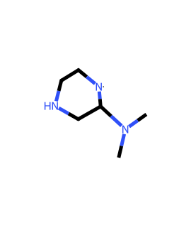 CN(C)C1CNCC[N]1